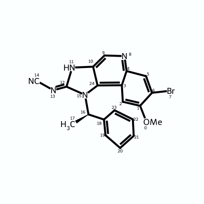 COc1cc2c(cc1Br)ncc1[nH]c(=NC#N)n([C@H](C)c3ccccc3)c12